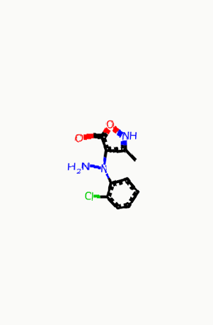 Cc1[nH]oc(=O)c1N(N)c1ccccc1Cl